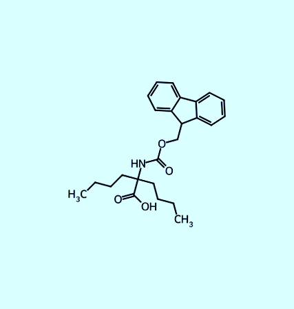 CCCCC(CCCC)(NC(=O)OCC1c2ccccc2-c2ccccc21)C(=O)O